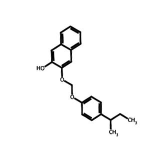 CCC(C)c1ccc(OCOc2cc3ccccc3cc2O)cc1